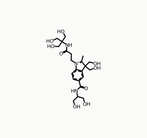 CC1=[N+](CCC(=O)NC(CO)(CO)CO)c2ccc(C(=O)NC(CO)CO)cc2C1(CO)CO